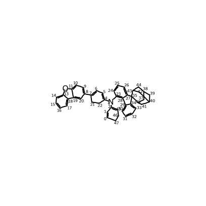 C1=CC(N(C2=CC=C(c3ccc4oc5ccccc5c4c3)CC2)c2cccc3c2-c2ccccc2C32C3CC4CC(C3)CC2C4)=CCC1